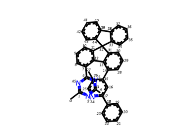 Cc1nc(C)nc(-c2cccc3c2-c2c(-c4cc(-c5ccccc5)ncc4C)cccc2C32c3ccccc3-c3ccccc32)n1